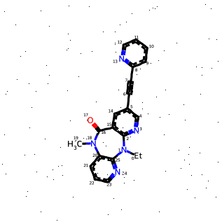 CCN1c2ncc(C#Cc3ccccn3)cc2C(=O)N(C)c2cccnc21